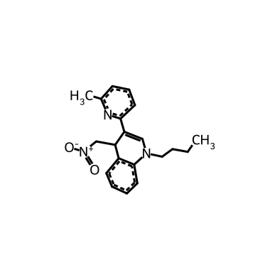 CCCCN1C=C(c2cccc(C)n2)C(C[N+](=O)[O-])c2ccccc21